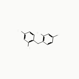 CC(C)c1ccc(Cc2ccc(C(C)C)cc2O)c(O)c1